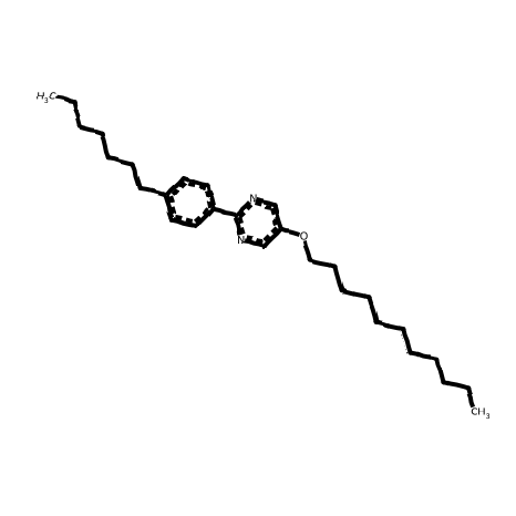 CCCCCCCCCCCOc1cnc(-c2ccc(CCCCCCC)cc2)nc1